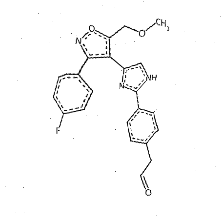 COCc1onc(-c2ccc(F)cc2)c1-c1c[nH]c(-c2ccc(CC=O)cc2)n1